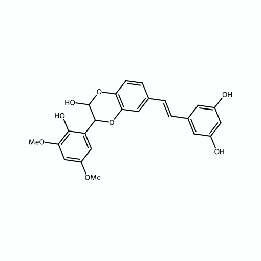 COc1cc(OC)c(O)c(C2Oc3cc(C=Cc4cc(O)cc(O)c4)ccc3OC2O)c1